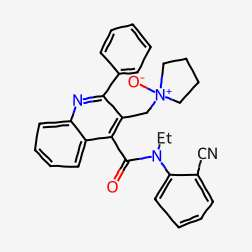 CCN(C(=O)c1c(C[N+]2([O-])CCCC2)c(-c2ccccc2)nc2ccccc12)c1ccccc1C#N